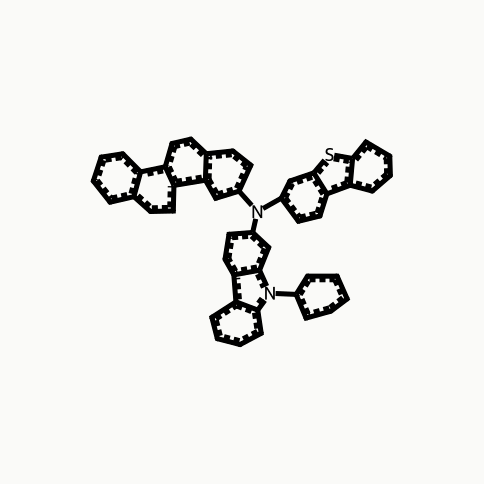 c1ccc(-n2c3ccccc3c3ccc(N(c4ccc5c(c4)sc4ccccc45)c4ccc5ccc6c7ccccc7ccc6c5c4)cc32)cc1